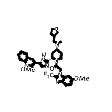 COc1ccc2nc(C(F)(F)F)n(CC(=O)N3CC[C@@H](N(C)CC4CCOC4)C[C@H]3c3ncc(-c4cc5ccccc5nc4OC)[nH]3)c2c1